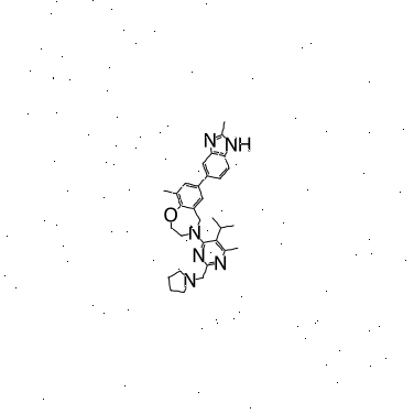 Cc1nc2cc(-c3cc(C)c4c(c3)CN(c3nc(CN5CCCC5)nc(C)c3C(C)C)CCO4)ccc2[nH]1